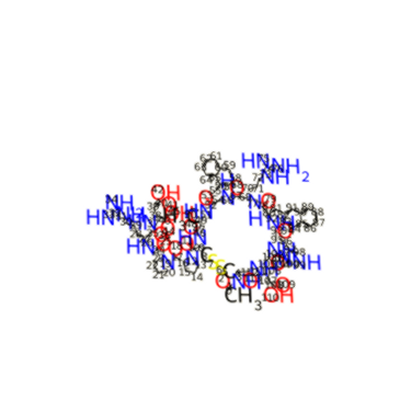 CC(=O)N[C@H]1CSSC[C@@H](C(=O)N2CCC[C@H]2C(=O)N2CCC[C@H]2C(=O)N[C@@H](CCCNC(=N)N)C(=O)N[C@@H](CC(=O)O)C(=O)O)NC(=O)[C@H](C)NC(=O)[C@H](Cc2cccc3ccccc23)NC(=O)[C@H](CCCNC(=N)N)NC(=O)[C@@H](Cc2ccc3ccccc3c2)NC(=O)[C@H](Cc2c[nH]cn2)NC(=O)[C@H](CCC(=O)O)NC1=O